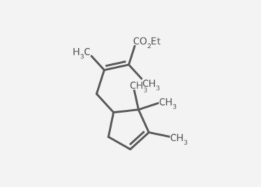 CCOC(=O)C(C)=C(C)CC1CC=C(C)C1(C)C